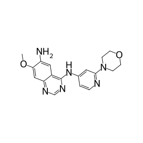 COc1cc2ncnc(Nc3ccnc(N4CCOCC4)c3)c2cc1N